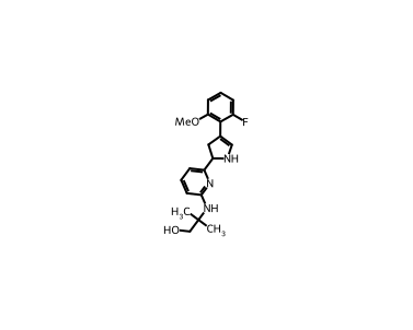 COc1cccc(F)c1C1=CNC(c2cccc(NC(C)(C)CO)n2)C1